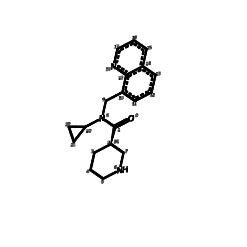 O=C([C@@H]1CCCNC1)N(Cc1cccc2cccnc12)C1CC1